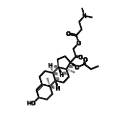 CCC(=O)O[C@]1(C(=O)COC(=O)CCN(C)C)CC[C@H]2[C@@H]3CCC4=CC(O)CC[C@]4(C)[C@H]3CC[C@@]21C